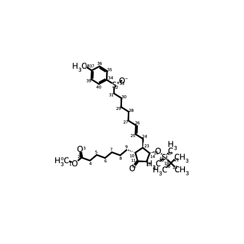 COC(=O)CCCCCC[C@H]1C(=O)C[C@@H](O[Si](C)(C)C(C)(C)C)[C@@H]1C/C=C/CCCCC[S+]([O-])c1ccc(C)cc1